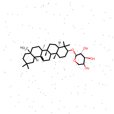 CC1(C)CC[C@]2(C(=O)O)CC[C@]3(C)C(=CCC4[C@@]5(C)CC[C@H](O[C@@H]6OC[C@H](O)[C@H](O)[C@H]6O)C(C)(C)[C@@H]5CC[C@]43C)[C@@H]2C1